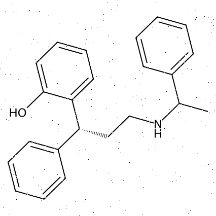 CC(NCC[C@H](c1ccccc1)c1ccccc1O)c1ccccc1